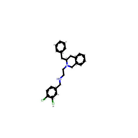 Clc1ccc(CNCCN2Cc3ccccc3CC2Cc2ccccc2)cc1Cl